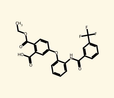 CCOC(=O)c1ccc(Oc2ccccc2NC(=O)c2cccc(C(F)(F)F)c2)cc1C(=O)O